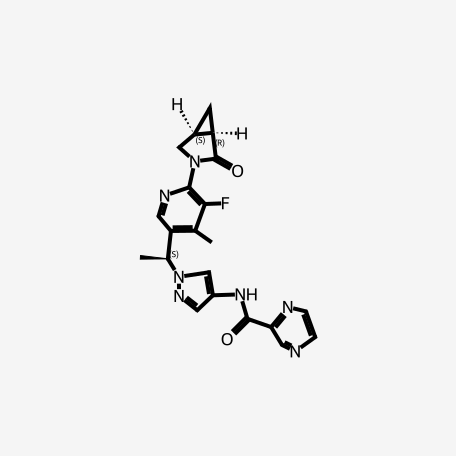 Cc1c([C@H](C)n2cc(NC(=O)c3cnccn3)cn2)cnc(N2C[C@H]3C[C@H]3C2=O)c1F